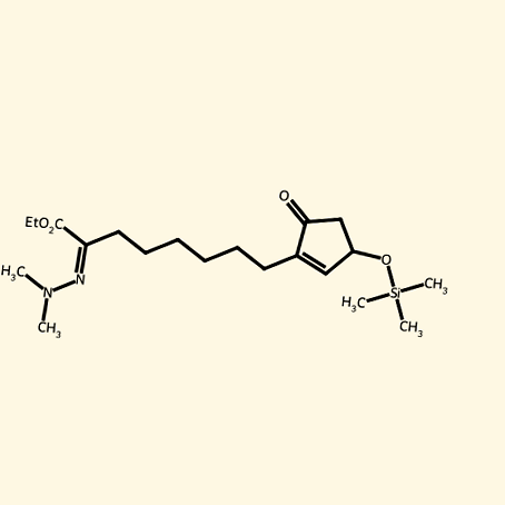 CCOC(=O)C(CCCCCCC1=CC(O[Si](C)(C)C)CC1=O)=NN(C)C